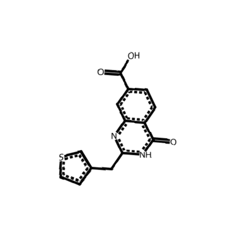 O=C(O)c1ccc2c(=O)[nH]c(Cc3ccsc3)nc2c1